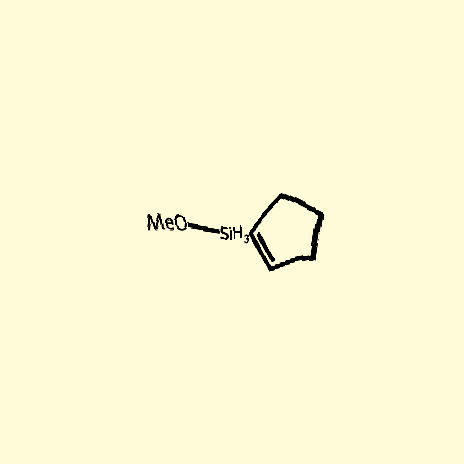 C1=CCCC1.CO[SiH3]